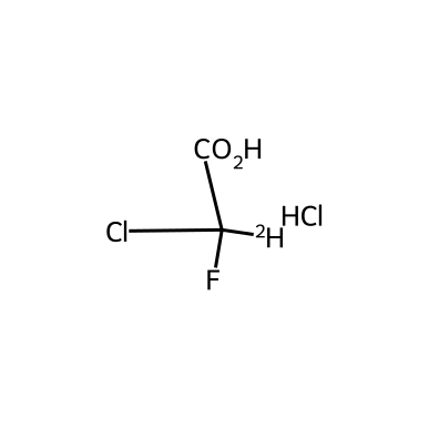 Cl.[2H]C(F)(Cl)C(=O)O